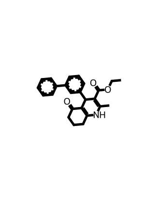 CCOC(=O)C1=C(C)NC2=C(C(=O)CCC2)C1c1cccc(-c2ccccc2)c1